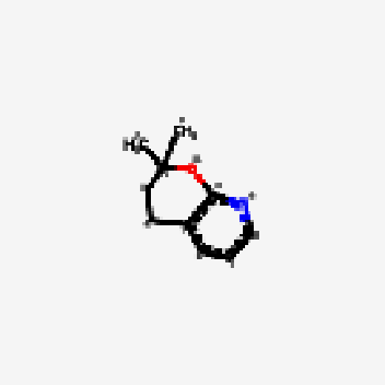 CC1(C)C[CH]c2cccnc2O1